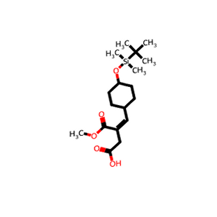 COC(=O)C(=CC1CCC(O[Si](C)(C)C(C)(C)C)CC1)CC(=O)O